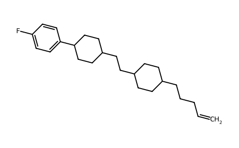 C=CCCCC1CCC(CCC2CCC(c3ccc(F)cc3)CC2)CC1